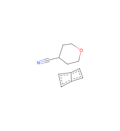 N#CC1CCOCC1.c1cc2ccc1-2